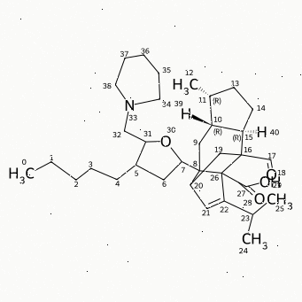 CCCCCC1CC(C23C[C@@H]4[C@H](C)CC[C@H]4C4(C=O)CC2C=C(C(C)C)C34C(=O)O)OC1CN1CCCCC1